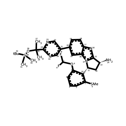 CSc1cccc(OC(F)F)c1[C@H]1C[C@@H](N)c2nc3ccc(-c4cnc(C(C)(C)O[Si](C)(C)C(C)(C)C)nc4)cc3n21